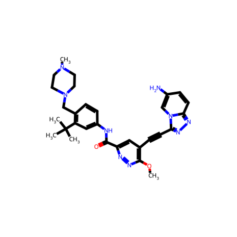 COc1nnc(C(=O)Nc2ccc(CN3CCN(C)CC3)c(C(C)(C)C)c2)cc1C#Cc1nnc2ccc(N)cn12